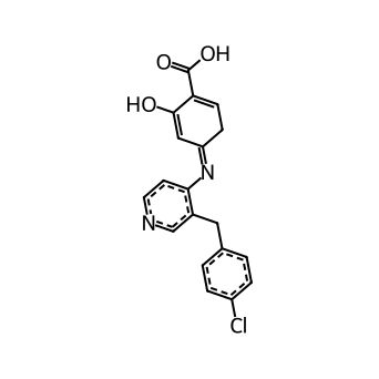 O=C(O)C1=CCC(=Nc2ccncc2Cc2ccc(Cl)cc2)C=C1O